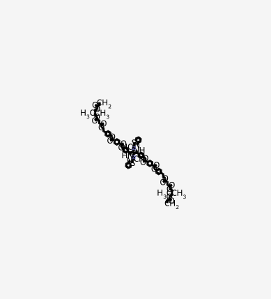 C=CC(=O)OCC(C)(C)COC(=O)CCC(=O)OCCc1ccc(OC(=O)C2CCC(C(=O)Oc3ccc(-c4[nH]/c(=C(/C#N)c5nc6ccccc6s5)c5c(-c6ccc(OC(=O)C7CCC(C(=O)Oc8ccc(CCOC(=O)CCC(=O)OCC(C)(C)COC(=O)C=C)cc8)CC7)cc6)[nH]/c(=C(/C#N)c6nc7ccccc7s6)c45)cc3)CC2)cc1